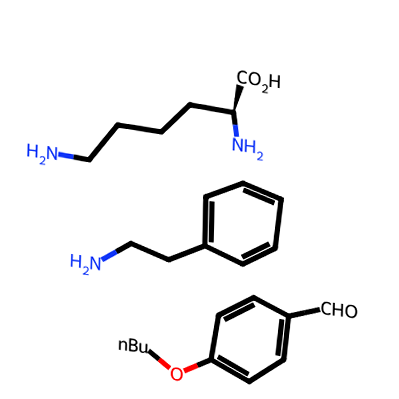 CCCCOc1ccc(C=O)cc1.NCCCC[C@H](N)C(=O)O.NCCc1ccccc1